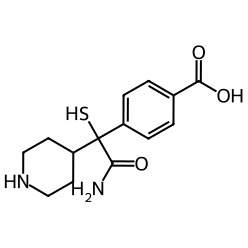 NC(=O)C(S)(c1ccc(C(=O)O)cc1)C1CCNCC1